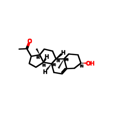 CC(=O)C1CC[C@H]2[C@@H]3CC=C4C[C@@H](O)CC[C@]4(C)[C@H]3CC[C@]12C